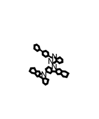 c1ccc(-c2ccc(-c3nc(-n4c5ccc(-n6c7ccccc7c7cc8ccccc8cc76)cc5c5cc6ccccc6cc54)c4ccccc4n3)cc2)cc1